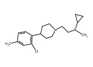 Cc1ccc(C2CCN(CCN(C)C3CC3)CC2)c(Cl)c1